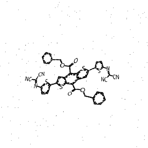 N#CC(C#N)=Nc1ccc(-c2cc3c(C(=O)OCc4ccccc4)c4sc(-c5ccc(N=C(C#N)C#N)s5)cc4c(C(=O)OCc4ccccc4)c3s2)s1